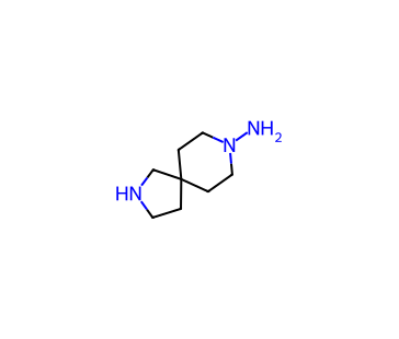 NN1CCC2(CCNC2)CC1